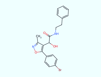 Cc1noc(-c2ccc(Br)cc2)c1C(O)C(=O)NCCc1ccccc1